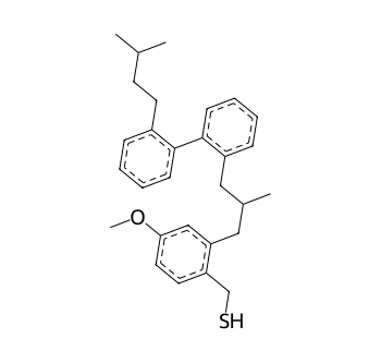 COc1ccc(CS)c(CC(C)Cc2ccccc2-c2ccccc2CCC(C)C)c1